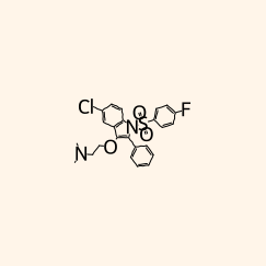 CN(C)CCOc1c(-c2ccccc2)n(S(=O)(=O)c2ccc(F)cc2)c2ccc(Cl)cc12